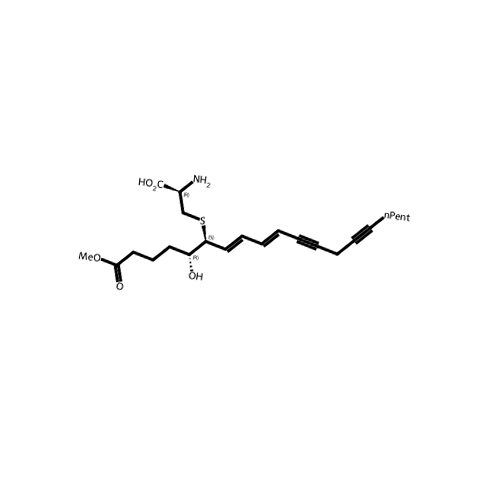 CCCCCC#CCC#CC=CC=C[C@H](SC[C@H](N)C(=O)O)[C@H](O)CCCC(=O)OC